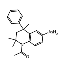 CC(=O)N1c2ccc([AsH2])cc2C(C)(c2ccccc2)CC1(C)C